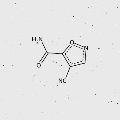 N#Cc1cnoc1C(N)=O